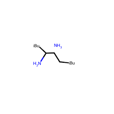 CCC(C)CCC(N)C(C)CC.N